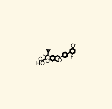 COc1ccc(F)c(-c2ccc([C@@H]3Cc4cc([C@H](C5CC5)[C@H](C)C(=O)C(=O)O)ccc4CO3)cc2)c1